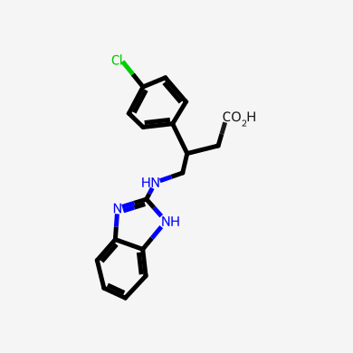 O=C(O)CC(CNc1nc2ccccc2[nH]1)c1ccc(Cl)cc1